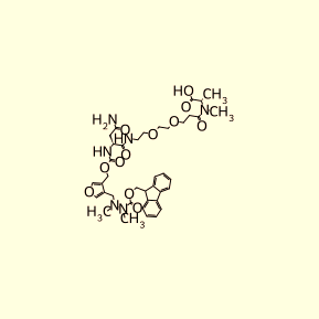 C[C@@H](C(=O)O)N(C)C(=O)CCOCCOCCNC(=O)[C@H](CC(N)=O)NC(=O)OCc1cocc1CN(C)N(C)C(=O)OCC1c2ccccc2-c2ccccc21